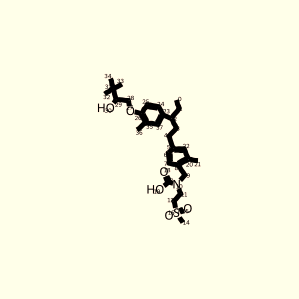 CCC(CCc1ccc(CN(CCS(C)(=O)=O)C(=O)O)c(C)c1)c1ccc(OCC(O)C(C)(C)C)c(C)c1